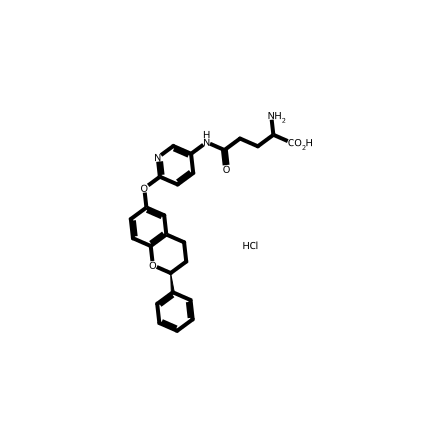 Cl.NC(CCC(=O)Nc1ccc(Oc2ccc3c(c2)CC[C@@H](c2ccccc2)O3)nc1)C(=O)O